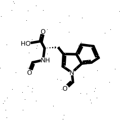 O=CN[C@@H](Cc1cn(C=O)c2ccccc12)C(=O)O